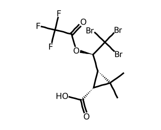 CC1(C)[C@@H]([C@@H](OC(=O)C(F)(F)F)C(Br)(Br)Br)[C@H]1C(=O)O